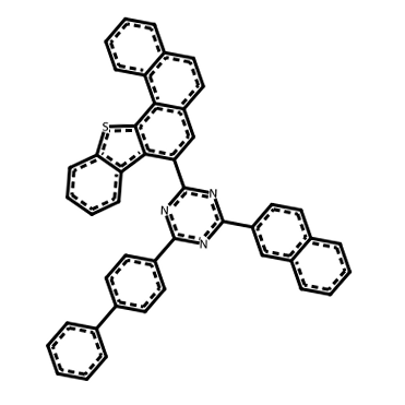 c1ccc(-c2ccc(-c3nc(-c4ccc5ccccc5c4)nc(-c4cc5ccc6ccccc6c5c5sc6ccccc6c45)n3)cc2)cc1